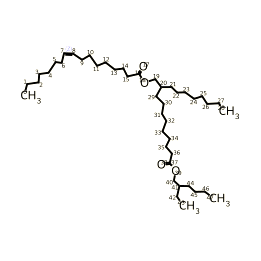 CCCCCCC/C=C\CCCCCCCC(=O)OCC(CCCCCCCC)CCCCCCCCC(=O)OCC(CC)CCCC